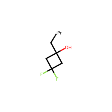 CC(C)CC1(O)CC(F)(F)C1